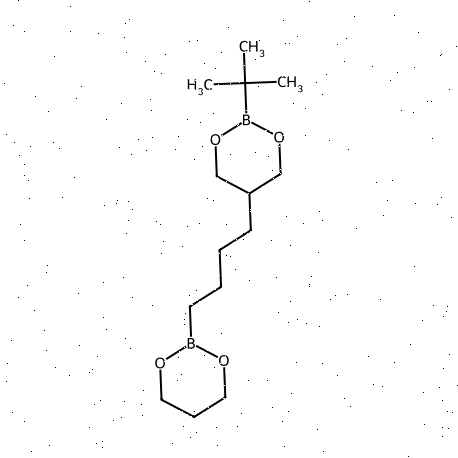 CC(C)(C)B1OCC(CCCCB2OCCCO2)CO1